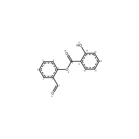 O=[C]c1ccccc1OC(=O)c1ccccc1O